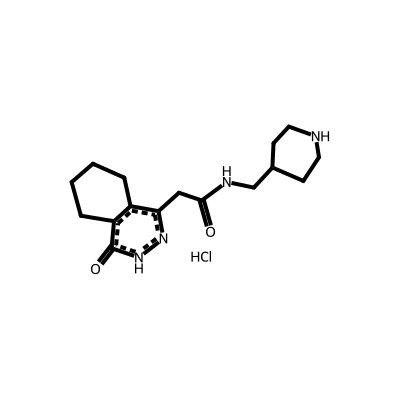 Cl.O=C(Cc1n[nH]c(=O)c2c1CCCC2)NCC1CCNCC1